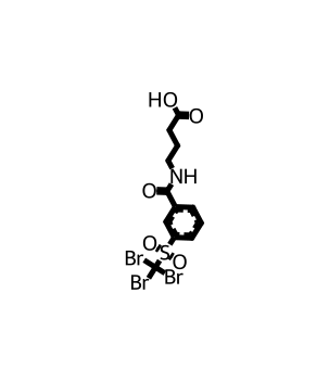 O=C(O)CCCNC(=O)c1cccc(S(=O)(=O)C(Br)(Br)Br)c1